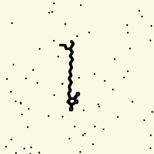 CCCC(CC)CCCCCCCCCCCCC1CC(=O)OC1=O